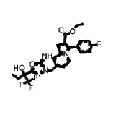 CCOC(=O)c1cc2cc(Cn3nc(C(O)(CC)C(F)(F)F)oc3=N)ccn2c1-c1ccc(F)cc1